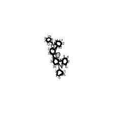 c1ccc(-n2c3ccccc3c3c4oc5c(ccc6c5c5ccccc5n6-c5ccccc5)c4ccc32)cc1